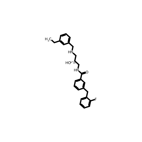 CCc1cccc(CNC[C@@H](O)CNC(=O)c2cccc(Cc3ccccc3F)c2)c1